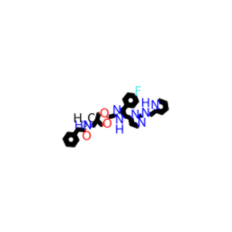 CC1(CNC(=O)Cc2ccccc2)COC(c2nc(-c3ccc(F)cc3)c(-c3ccnc(NCc4ccccn4)n3)[nH]2)OC1